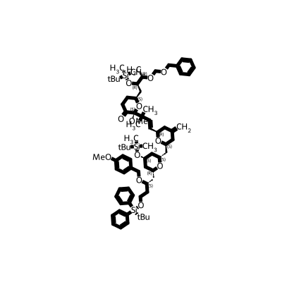 C=C1C[C@@H](C[C@H]2C[C@@H](O[Si](C)(C)C(C)(C)C)C[C@@H](C[C@H](CCO[Si](c3ccccc3)(c3ccccc3)C(C)(C)C)OCc3ccc(OC)cc3)O2)O[C@@H](C=CC(C)(C)[C@]2(OC)O[C@H](C[C@@H](O[Si](C)(C)C(C)(C)C)[C@@H](C)OCOCc3ccccc3)CCC2=O)C1